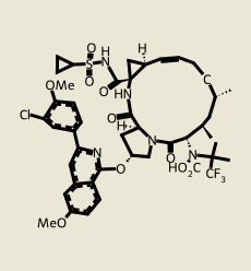 COc1ccc2c(O[C@@H]3C[C@H]4C(=O)N[C@]5(C(=O)NS(=O)(=O)C6CC6)C[C@H]5C=CCC[C@H](C)C[C@@H](C)[C@H](N(C(=O)O)C(C)(C)C(F)(F)F)C(=O)N4C3)nc(-c3ccc(OC)c(Cl)c3)cc2c1